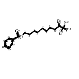 O=C(OCCCCCCCCC(Br)C(F)(F)Br)c1ccccc1